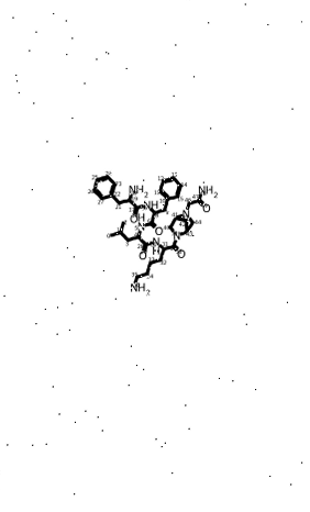 CC(C)CC(NC(=O)C(Cc1ccccc1)NC(=O)C(N)Cc1ccccc1)C(=O)NC(CCCCN)C(=O)N1CC2CC1CN2CC(N)=O